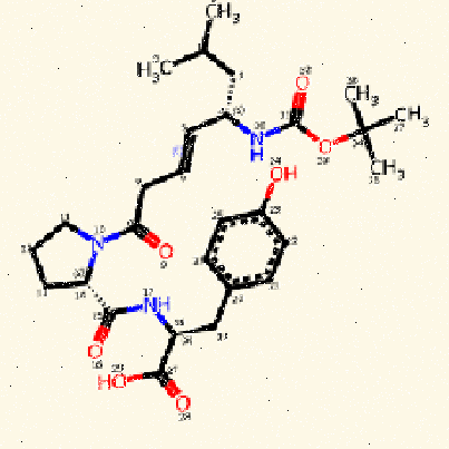 CC(C)C[C@@H](/C=C/CC(=O)N1CCC[C@H]1C(=O)N[C@@H](Cc1ccc(O)cc1)C(=O)O)NC(=O)OC(C)(C)C